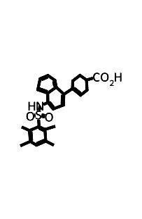 Cc1cc(C)c(C)c(S(=O)(=O)Nc2ccc(C3=CCC(C(=O)O)CC3)c3ccccc23)c1C